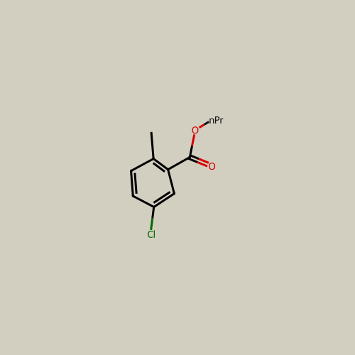 CCCOC(=O)c1cc(Cl)ccc1C